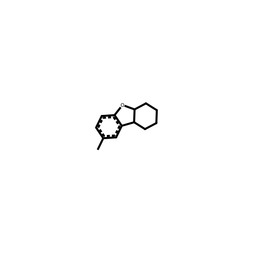 Cc1ccc2c(c1)C1CCCCC1O2